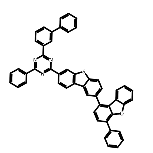 c1ccc(-c2cccc(-c3nc(-c4ccccc4)nc(-c4ccc5c(c4)sc4ccc(-c6ccc(-c7ccccc7)c7oc8ccccc8c67)cc45)n3)c2)cc1